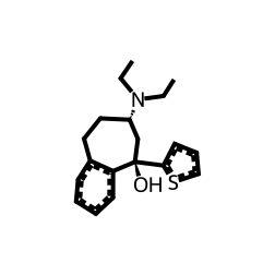 CCN(CC)[C@H]1CCc2ccccc2[C@@](O)(c2cccs2)C1